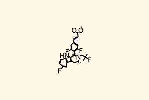 COC(=O)/C=C/c1cc(F)c([C@@H]2c3[nH]c4ccc(F)cc4c3C[C@@H](C)N2CC(C)(C)F)c(F)c1